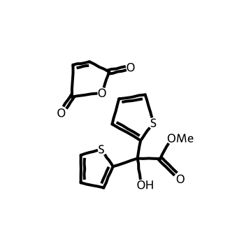 COC(=O)C(O)(c1cccs1)c1cccs1.O=C1C=CC(=O)O1